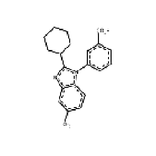 O=C(O)c1cccc(-n2c(C3CCCCC3)nc3cc(C(F)(F)F)ccc32)c1